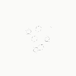 CCc1nc2c(C)cc(-c3cn(CCN(CC)CC)cn3)cc2n1Cc1ccc(-c2ccccc2-c2nnn[nH]2)cc1